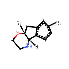 FC(F)(F)c1ccc2c(c1)C[C@H]1OCCN[C@@H]21